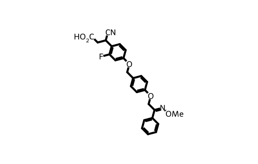 CON=C(COc1ccc(COc2ccc(C(C#N)CC(=O)O)c(F)c2)cc1)c1ccccc1